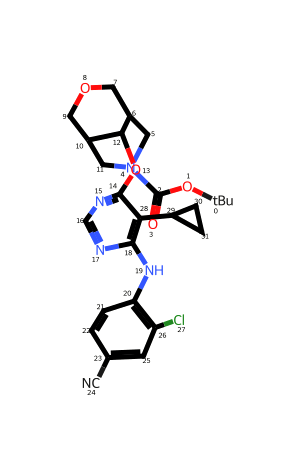 CC(C)(C)OC(=O)N1CC2COCC(C1)C2Oc1ncnc(Nc2ccc(C#N)cc2Cl)c1C1CC1